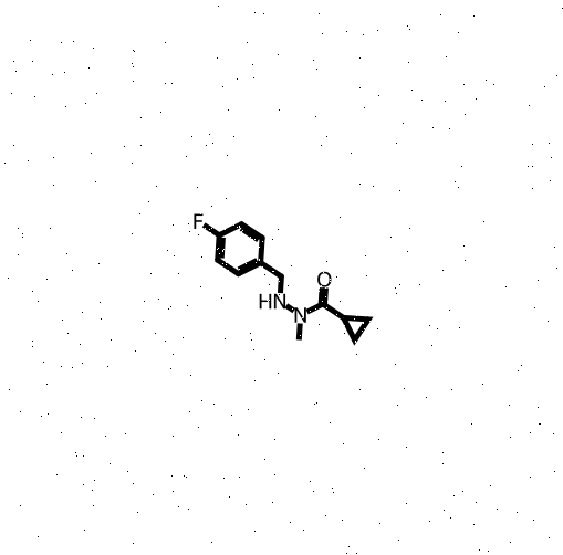 CN(NCc1ccc(F)cc1)C(=O)C1CC1